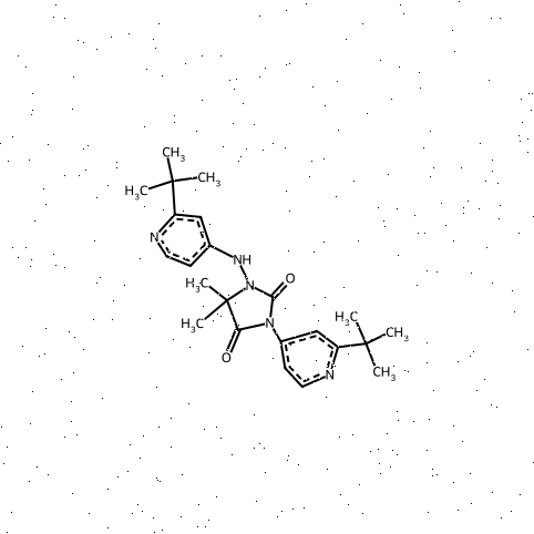 CC(C)(C)c1cc(NN2C(=O)N(c3ccnc(C(C)(C)C)c3)C(=O)C2(C)C)ccn1